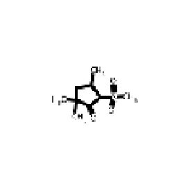 CC1CC(C)(C)C(=O)C1S(C)(=O)=O